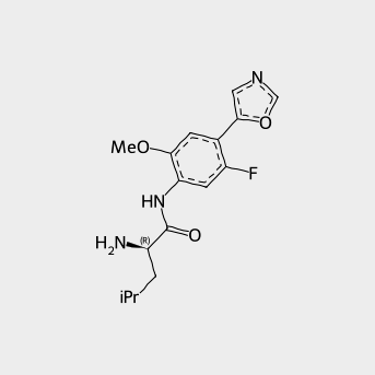 COc1cc(-c2cnco2)c(F)cc1NC(=O)[C@H](N)CC(C)C